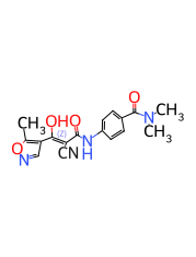 Cc1oncc1/C(O)=C(\C#N)C(=O)Nc1ccc(C(=O)N(C)C)cc1